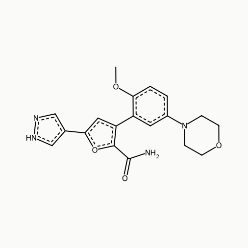 COc1ccc(N2CCOCC2)cc1-c1cc(-c2cn[nH]c2)oc1C(N)=O